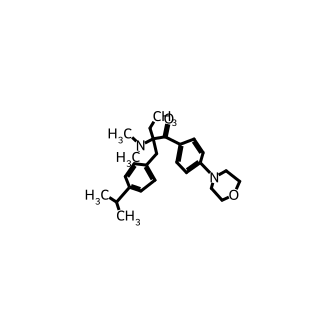 CCC(Cc1ccc(C(C)C)cc1)(C(=O)c1ccc(N2CCOCC2)cc1)N(C)C